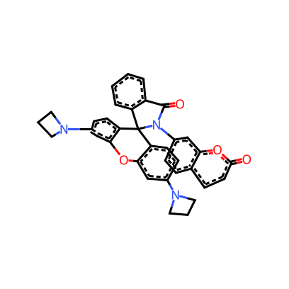 O=C1c2ccccc2C2(c3ccc(N4CCC4)cc3Oc3cc(N4CCC4)ccc32)N1c1ccc2ccc(=O)oc2c1